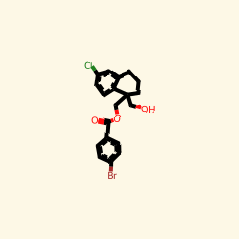 O=C(OCC1(CO)CCCc2cc(Cl)ccc21)c1ccc(Br)cc1